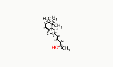 CC1=CCC(C)C(C)(C)C1CCC=CCC(C)O